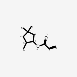 C=CC(=O)OC1CC(C)(C)CC1C